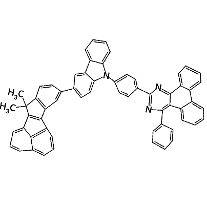 CC1(C)C2=C(c3cc(-c4ccc5c(c4)c4ccccc4n5-c4ccc(-c5nc(-c6ccccc6)c6c7ccccc7c7ccccc7c6n5)cc4)ccc31)c1cccc3cccc2c13